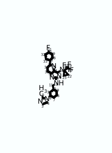 Cc1nccn1-c1cccc(CNc2nc(NC3(C(F)(F)F)CC3)c3nc(-c4ccc(F)cc4)ccc3n2)c1